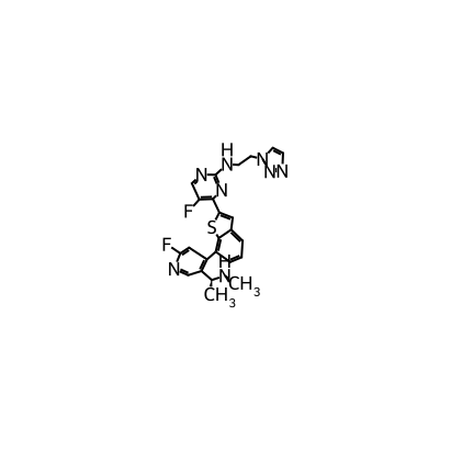 CN[C@@H](C)c1cnc(F)cc1-c1cccc2cc(-c3nc(NCCn4ccnn4)ncc3F)sc12